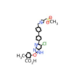 Cc1ccc(Oc2nc3nc(-c4ccc(-c5ccc(CN6CC(CS(C)(=O)=O)C6)cc5)cc4)c(Cl)cc3[nH]2)cc1C(=O)O